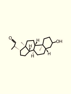 CC(C=O)[C@H]1CC[C@H]2[C@@H]3CC[C@H]4CC(O)CC[C@]4(C)[C@H]3CC[C@]12C